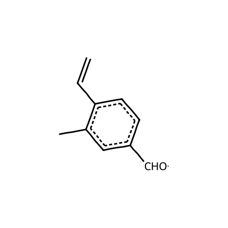 C=Cc1ccc([C]=O)cc1C